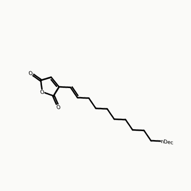 CCCCCCCCCCCCCCCCCCC=CC1=CC(=O)OC1=O